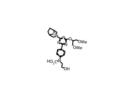 COCC(COC)Oc1nc(-c2ccc(N(CCO)C(=O)O)cc2)nc(N2CC3CCC(C2)O3)n1